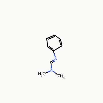 CN(C)C=Nc1cc[c]cc1